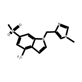 Cn1cnc(Cn2ccc3c(C(F)(F)F)cc(S(C)(=O)=O)cc32)c1